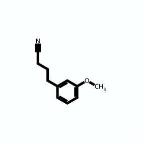 COc1cccc(CCCC#N)c1